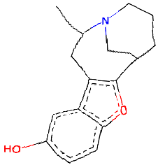 CC1Cc2c(oc3ccc(O)cc23)C2CCCN1C2